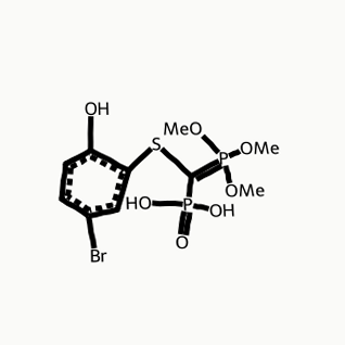 COP(OC)(OC)=C(Sc1cc(Br)ccc1O)P(=O)(O)O